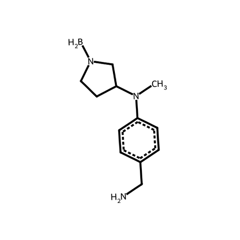 BN1CCC(N(C)c2ccc(CN)cc2)C1